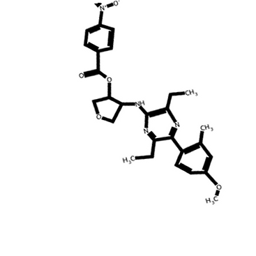 CCc1nc(-c2ccc(OC)cc2C)c(CC)nc1NC1COCC1OC(=O)c1ccc([N+](=O)[O-])cc1